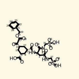 O=C(CC(NC(=O)[C@@H]1C[C@H](C(=O)O)C[C@H](C(=O)C(=O)OCc2ccccc2)C1)C(=O)NCS(=O)(=O)O)NCS(=O)(=O)O